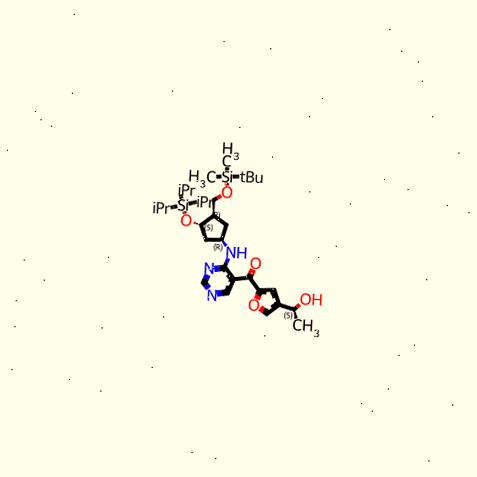 CC(C)[Si](O[C@H]1C[C@H](Nc2ncncc2C(=O)c2cc([C@H](C)O)co2)C[C@@H]1CO[Si](C)(C)C(C)(C)C)(C(C)C)C(C)C